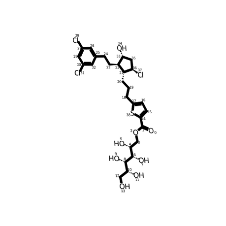 O=C(OC[C@@H](O)[C@H](O)[C@@H](O)[C@H](O)CO)c1ccc(CCC[C@@H]2[C@@H](CCc3cc(Cl)cc(Cl)c3)[C@H](O)C[C@H]2Cl)s1